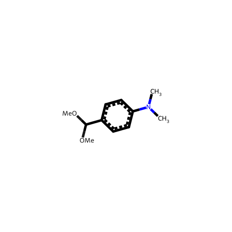 COC(OC)c1ccc(N(C)C)cc1